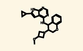 COC1CN(C2COc3ccccc3C2Nc2ncnc3[nH]c(C4CC4)cc23)C1